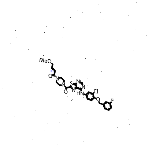 COC/C=C/C(=O)N1CCN(C(=O)c2nc3c(Nc4ccc(OCc5cccc(F)c5)c(Cl)c4)ncnc3s2)CC1